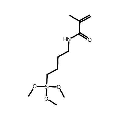 C=C(C)C(=O)NCCCC[Si](OC)(OC)OC